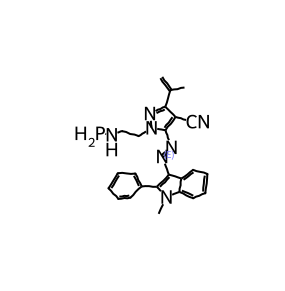 C=C(C)c1nn(CCNP)c(/N=N/c2c(-c3ccccc3)n(C)c3ccccc23)c1C#N